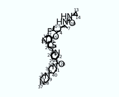 C=C(F)/C(=C\C=C(/C)NC(=O)NC1CC1)Oc1ccnc2cc(-c3ccc(C(=O)N4CCC(N5CCN(C)CC5)CC4)cn3)sc12